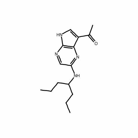 CCCC(CCC)Nc1cnc2[nH]cc(C(C)=O)c2n1